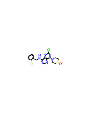 [O-][S+]1CCN(c2nc(Cl)nc3c(NCc4ccccc4Cl)ncnc23)CC1